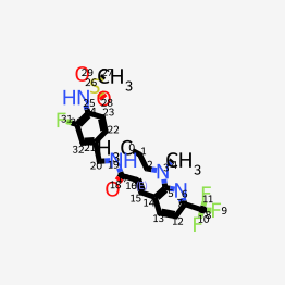 CCCN(C)c1nc(C(F)(F)F)ccc1/C=C/C(=O)NCc1ccc(NS(C)(=O)=O)c(F)c1